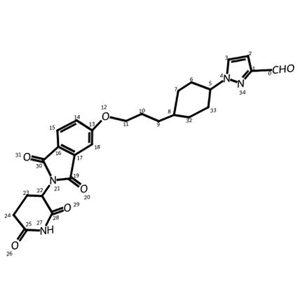 O=Cc1ccn(C2CCC(CCCOc3ccc4c(c3)C(=O)N(C3CCC(=O)NC3=O)C4=O)CC2)n1